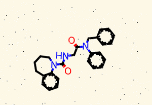 O=C(CNC(=O)N1CCCCc2ccccc21)N(Cc1ccccc1)c1ccccc1